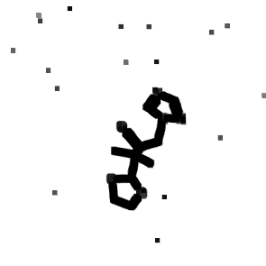 CC(C)(C(=O)Cn1cncn1)C1OCCO1